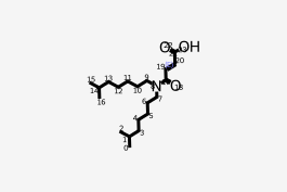 CC(C)CCCCCN(CCCCCC(C)C)C(=O)/C=C/C(=O)O